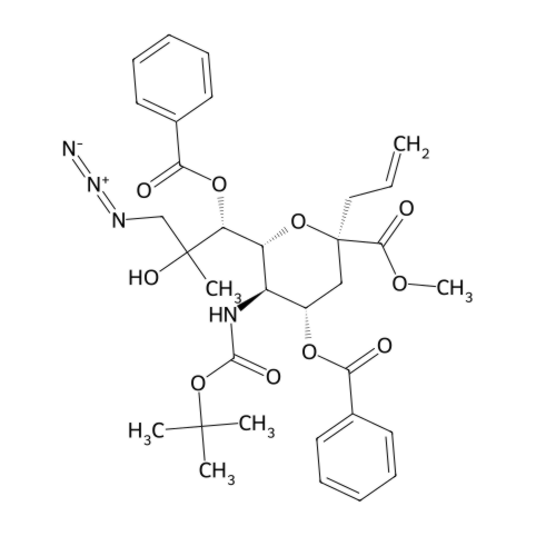 C=CC[C@]1(C(=O)OC)C[C@H](OC(=O)c2ccccc2)[C@@H](NC(=O)OC(C)(C)C)[C@H]([C@@H](OC(=O)c2ccccc2)C(C)(O)CN=[N+]=[N-])O1